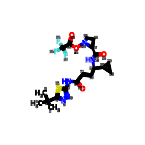 CC(C)(C)c1nnc(NC(=O)/C=C/[C@@H](NC(=O)[C@@H]2CCN2OC(=O)C(F)(F)F)C2CC2)s1